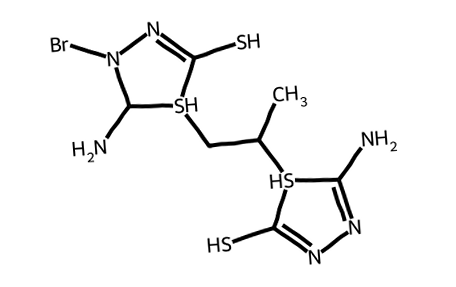 CC(C[SH]1C(S)=NN(Br)C1N)[SH]1C(N)=NN=C1S